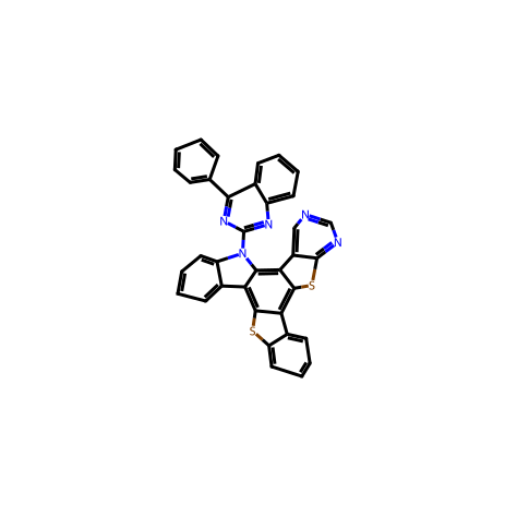 c1ccc(-c2nc(-n3c4ccccc4c4c5sc6ccccc6c5c5sc6ncncc6c5c43)nc3ccccc23)cc1